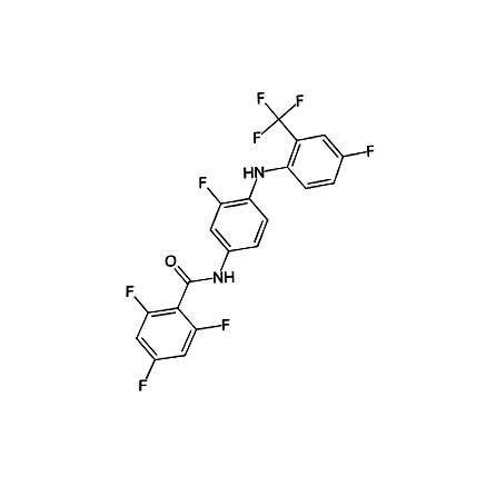 O=C(Nc1ccc(Nc2ccc(F)cc2C(F)(F)F)c(F)c1)c1c(F)cc(F)cc1F